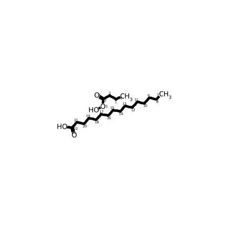 CCCC(=O)OO.CCCCCCCCCCCCCCCC(=O)O